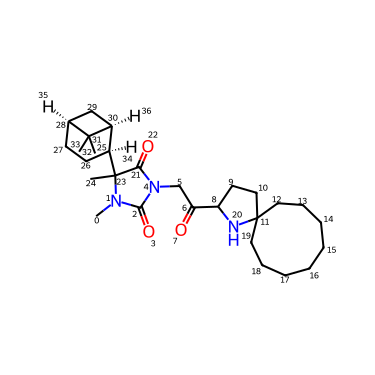 CN1C(=O)N(CC(=O)C2CCC3(CCCCCCCC3)N2)C(=O)C1(C)[C@H]1CC[C@H]2C[C@@H]1C2(C)C